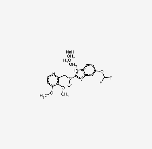 COc1ccnc(C[S+]([O-])c2nc3cc(OC(F)F)ccc3[nH]2)c1OC.O.O.O.[NaH]